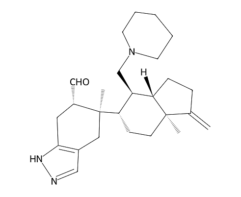 C=C1CC[C@H]2[C@H](CN3CCCCC3)[C@@H]([C@@]3(C)Cc4cn[nH]c4C[C@@H]3C=O)CC[C@]12C